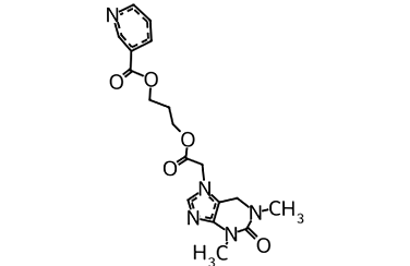 CN1Cc2c(ncn2CC(=O)OCCCOC(=O)c2cccnc2)N(C)C1=O